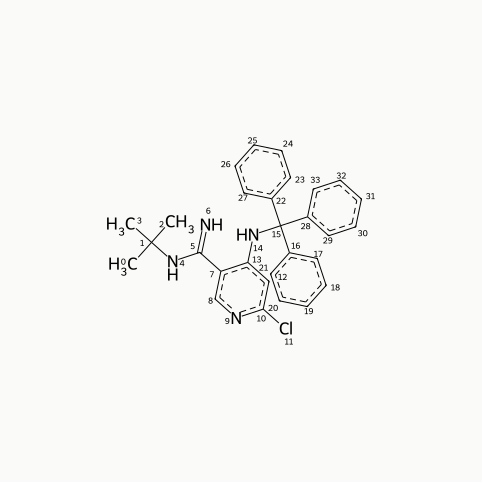 CC(C)(C)NC(=N)c1cnc(Cl)cc1NC(c1ccccc1)(c1ccccc1)c1ccccc1